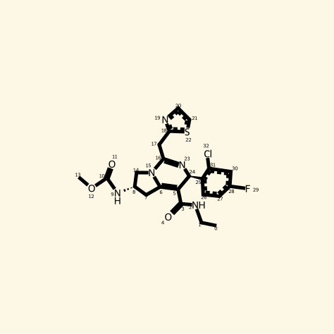 CCNC(=O)C1=C2C[C@H](NC(=O)OC)CN2C(Cc2nccs2)=N[C@H]1c1ccc(F)cc1Cl